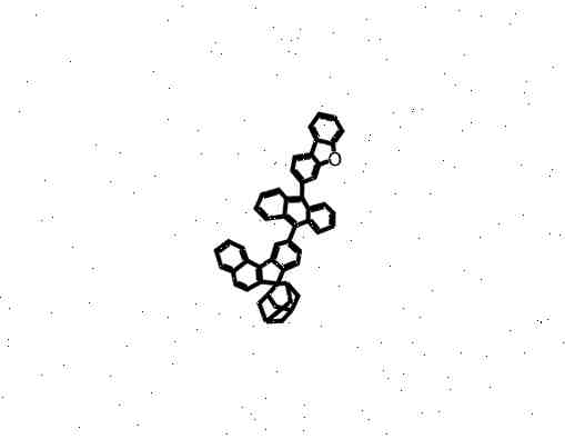 c1ccc2c3c(ccc2c1)C1(c2ccc(-c4c5ccccc5c(-c5ccc6c(c5)oc5ccccc56)c5ccccc45)cc2-3)C2CC3CC(C2)CC1C3